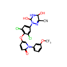 N#CC1=NN(c2cc(Cl)c(Oc3ccc(=O)n(-c4cccc(OC(F)(F)F)c4)c3)c(Cl)c2)C(O)NC1O